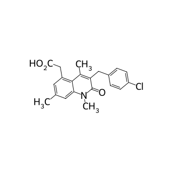 Cc1cc(CC(=O)O)c2c(C)c(Cc3ccc(Cl)cc3)c(=O)n(C)c2c1